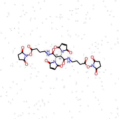 O=C(CCCNC(=O)[C@H]([C@@H](C(=O)NCCCC(=O)ON1C(=O)CCC1=O)N1C(=O)C=CC1=O)N1C(=O)C=CC1=O)ON1C(=O)CCC1=O